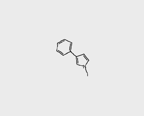 In1ccc(-c2ccccc2)c1